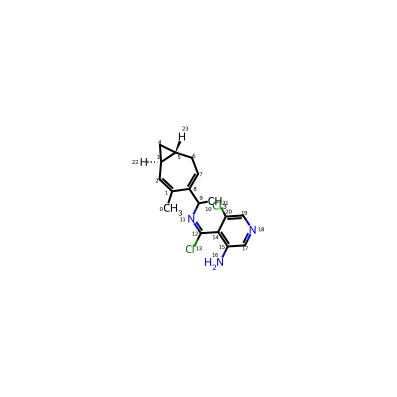 CC1=C[C@H]2C[C@@H]2CC=C1C(C)/N=C(/Cl)c1c(N)cncc1Cl